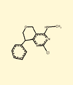 CNc1nc(Cl)nc2c1COCC2c1ccccc1